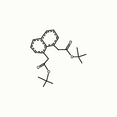 CC(C)(C)OC(=O)Cc1cccc2cccc(CC(=O)OC(C)(C)C)c12